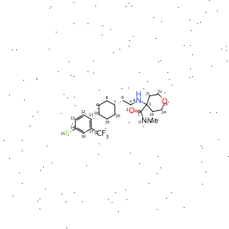 CNC(=O)C1(NCC[C@H]2CC[C@@H](c3ccc(F)cc3C(F)(F)F)CC2)CCOCC1